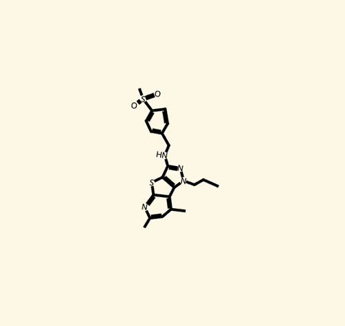 CCCn1nc(NCc2ccc(S(C)(=O)=O)cc2)c2sc3nc(C)cc(C)c3c21